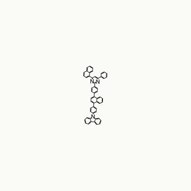 c1ccc(-c2cc(-c3cccc4ccccc34)nc(-c3ccc(-c4ccc(-c5ccc(-n6c7ccccc7c7ccccc76)cc5)c5ccccc45)cc3)n2)cc1